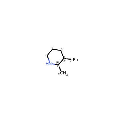 C[C@H]1NCCC[C@H]1C(C)(C)C